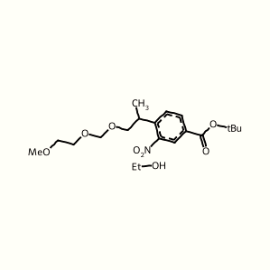 CCO.COCCOCOCC(C)c1ccc(C(=O)OC(C)(C)C)cc1[N+](=O)[O-]